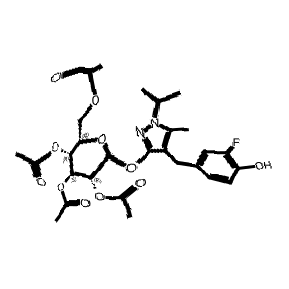 CC(=O)OC[C@H]1OC(Oc2nn(C(C)C)c(C)c2Cc2ccc(O)c(F)c2)[C@H](OC(C)=O)[C@@H](OC(C)=O)[C@@H]1OC(C)=O